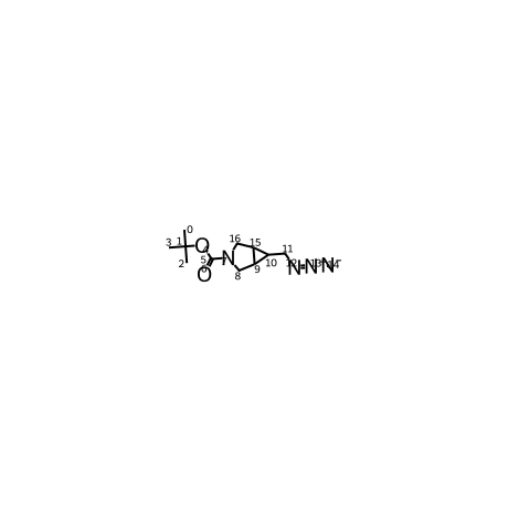 CC(C)(C)OC(=O)N1CC2C(CN=[N+]=[N-])C2C1